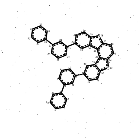 c1ccc(-c2cccc(-c3ccc4sc5ccc6sc7ccc(-c8cccc(-c9ccccc9)c8)cc7c6c5c4c3)c2)cc1